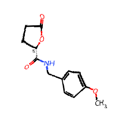 COc1ccc(CNC(=O)[C@@H]2CCC(=O)O2)cc1